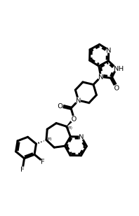 O=C(O[C@@H]1CC[C@@H](C2CC=CC(F)=C2F)Cc2cccnc21)N1CCC(n2c(=O)[nH]c3ncccc32)CC1